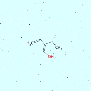 C=CC(=CO)CC